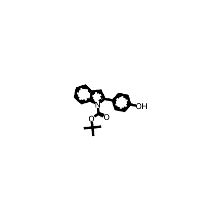 CC(C)(C)OC(=O)n1c(-c2ccc(O)cc2)cc2ccccc21